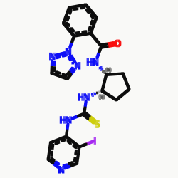 O=C(N[C@@H]1CCC[C@@H]1NC(=S)Nc1ccncc1I)c1ccccc1-n1nccn1